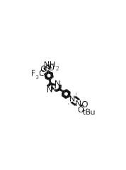 C[C@@H]1CN(C(=O)OC(C)(C)C)C[C@H](C)N1c1ccc(-c2cnc3c(-c4ccc(S(N)(=O)=O)c(C(F)(F)F)c4)cnn3c2)cc1